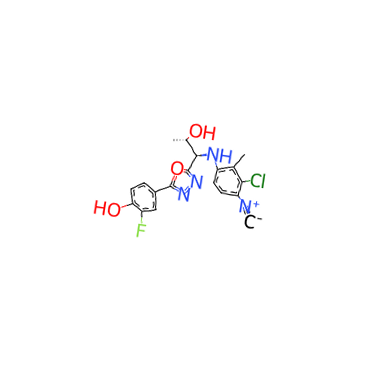 [C-]#[N+]c1ccc(N[C@@H](c2nnc(-c3ccc(O)c(F)c3)o2)[C@H](C)O)c(C)c1Cl